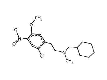 COc1cc(CCN(C)CC2CCCCC2)c(Cl)cc1[N+](=O)[O-]